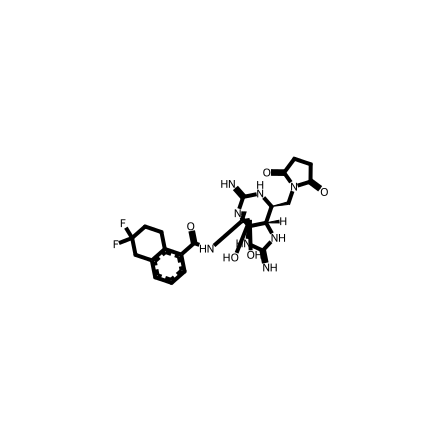 N=C1N[C@H]2[C@H](CN3C(=O)CCC3=O)NC(=N)N3CC(NC(=O)c4cccc5c4CCC(F)(F)C5)C(O)(O)C23N1